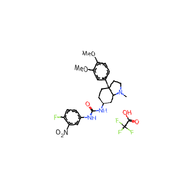 COc1ccc(C23CCC(NC(=O)Nc4ccc(F)c([N+](=O)[O-])c4)CC2N(C)CC3)cc1OC.O=C(O)C(F)(F)F